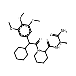 COc1cc(C(C(=O)N2CCCCC2C(=O)N[C@H](C)C(N)=O)C2CCCCC2)cc(OC)c1OC